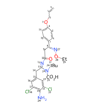 C=CCOc1ccc(C(CC(=O)N=C(Cc2cc(Cl)c(N)c(Cl)c2)N(C(=O)O)C(C)(C)C)=NOCC)cc1